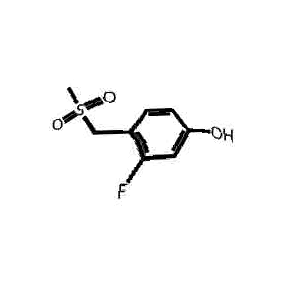 CS(=O)(=O)Cc1ccc(O)cc1F